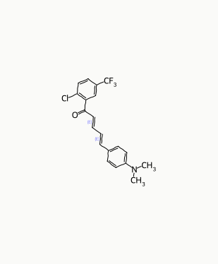 CN(C)c1ccc(/C=C/C=C/C(=O)c2cc(C(F)(F)F)ccc2Cl)cc1